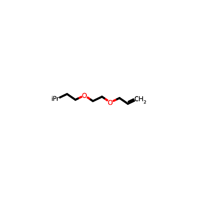 C=CCOCCOCCC(C)C